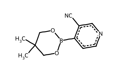 CC1(C)COB(c2ccncc2C#N)OC1